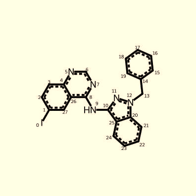 Ic1ccc2ncnc(Nc3nn(Cc4ccccc4)c4ccccc34)c2c1